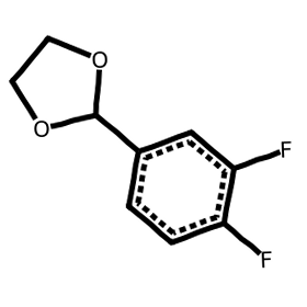 Fc1ccc(C2OCCO2)cc1F